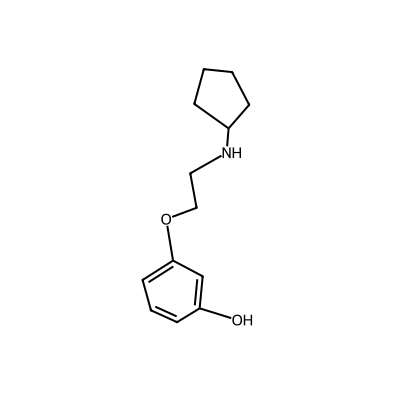 Oc1cccc(OCCNC2CCCC2)c1